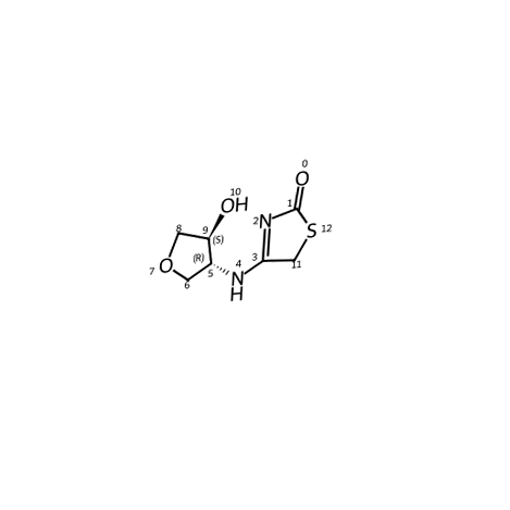 O=C1N=C(N[C@@H]2COC[C@H]2O)CS1